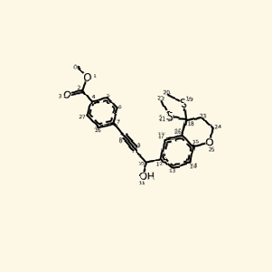 COC(=O)c1ccc(C#CC(O)c2ccc3c(c2)C(SC)(SC)CCO3)cc1